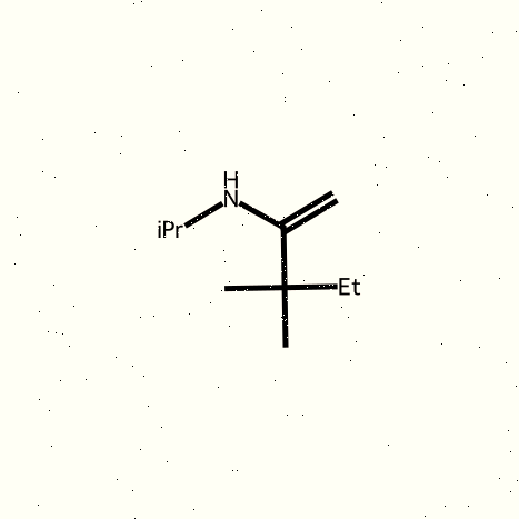 C=C(NC(C)C)C(C)(C)CC